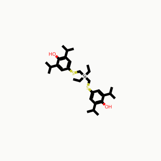 CC[Si](CC)(CSc1cc(C(C)C)c(O)c(C(C)C)c1)CSc1cc(C(C)C)c(O)c(C(C)C)c1